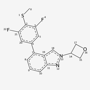 CSc1c(F)cc(-c2cccc3nn(C4COC4)cc23)cc1F